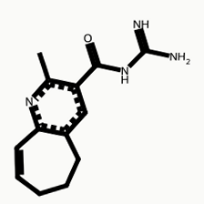 Cc1nc2c(cc1C(=O)NC(=N)N)CCCC=C2